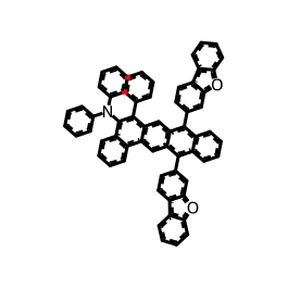 c1ccc(-c2c(N(c3ccccc3)c3ccccc3)c3ccccc3c3cc4c(-c5ccc6c(c5)oc5ccccc56)c5ccccc5c(-c5ccc6c(c5)oc5ccccc56)c4cc23)cc1